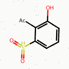 CC(=O)c1c(O)cccc1[SH](=O)=O